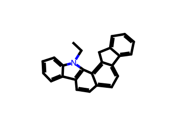 CCn1c2ccccc2c2ccc3ccc4c(c3c21)Cc1ccccc1-4